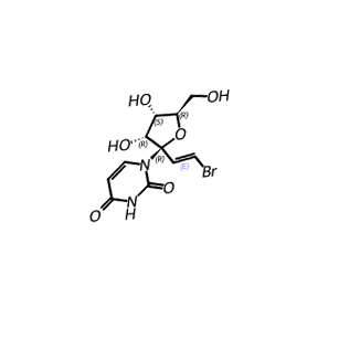 O=c1ccn([C@]2(/C=C/Br)O[C@H](CO)[C@@H](O)[C@H]2O)c(=O)[nH]1